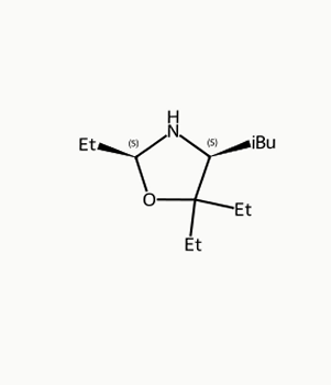 CCC(C)[C@@H]1N[C@H](CC)OC1(CC)CC